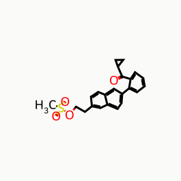 CS(=O)(=O)OCCc1ccc2cc(-c3ccccc3C(=O)C3CC3)ccc2c1